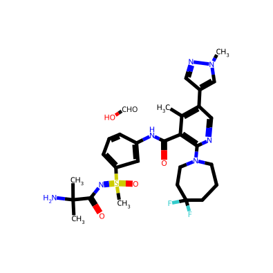 Cc1c(-c2cnn(C)c2)cnc(N2CCCC(F)(F)CC2)c1C(=O)Nc1cccc(S(C)(=O)=NC(=O)C(C)(C)N)c1.O=CO